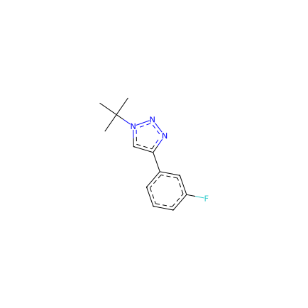 CC(C)(C)n1cc(-c2cccc(F)c2)nn1